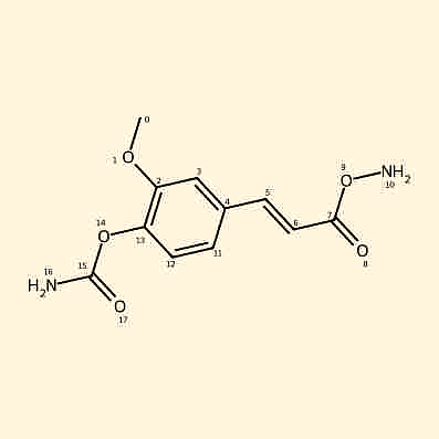 COc1cc(C=CC(=O)ON)ccc1OC(N)=O